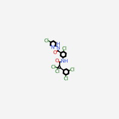 O=C(Nc1ccc(Cl)cn1)c1cc(NC(=O)C2C(c3cc(Cl)cc(Cl)c3)C2(Cl)Cl)ccc1Cl